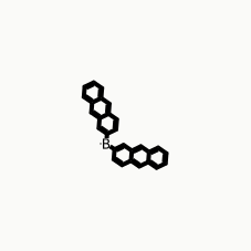 [B](c1ccc2cc3ccccc3cc2c1)c1ccc2cc3ccccc3cc2c1